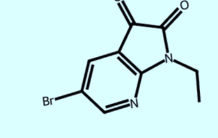 CCN1C(=O)C(=O)c2cc(Br)cnc21